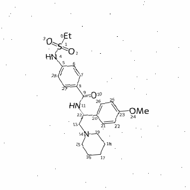 CCS(=O)(=O)Nc1ccc(C(=O)NC(CN2CCCCC2)c2ccc(OC)cc2)cc1